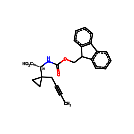 CC#CCC1([C@@H](NC(=O)OCC2c3ccccc3-c3ccccc32)C(=O)O)CC1